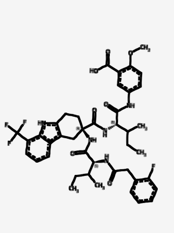 CCC(C)[C@H](NC(=O)Cc1ccccc1F)C(=O)N[C@]1(C(=O)N[C@H](C(=O)Nc2ccc(OC)c(C(=O)O)c2)C(C)CC)CCc2[nH]c3c(C(F)(F)F)cccc3c2C1